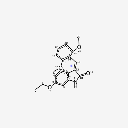 CCOc1ccc2c(c1)NC(=O)/C2=C/c1c(OC)cccc1OC